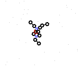 c1ccc(-c2ccc(N(c3cccc(-c4ccccc4N(c4cccc(-c5ccccc5)c4)c4cccc5sc6ccccc6c45)c3)c3ccc4cc(-c5ccccc5)ccc4c3)cc2)cc1